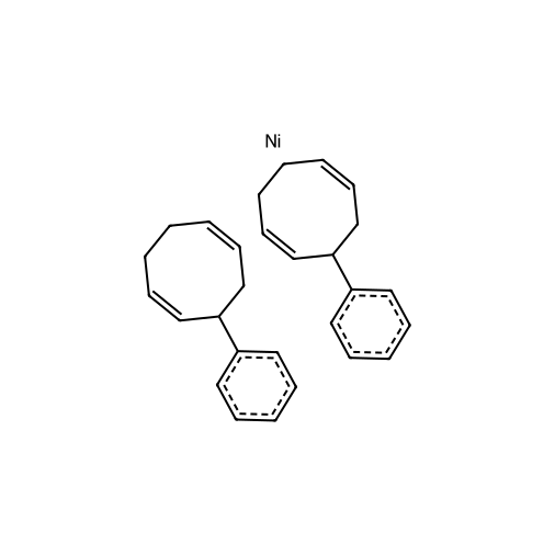 C1=C\CC(c2ccccc2)/C=C\CC/1.C1=C\CC(c2ccccc2)/C=C\CC/1.[Ni]